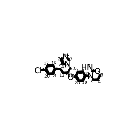 N=C1OCCCN1c1ccc(OC(CCc2ccc(Cl)cc2)Cn2ccnc2)cc1